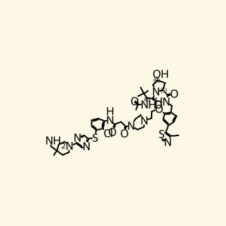 CC(=O)N[C@H](C(=O)N1C[C@H](O)C[C@H]1C(=O)NCc1ccc(-c2scnc2C)cc1OCCN1CCN(C(=O)CC(=O)Nc2cccc(Sc3cnc(N4CCC(C)(CN)CC4)cn3)c2Cl)CC1)C(C)(C)C